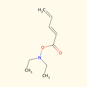 C=CC=CC(=O)ON(CC)CC